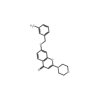 O=c1cc(N2CCOCC2)oc2cc(OCc3cccc(C(F)(F)F)c3)ccc12